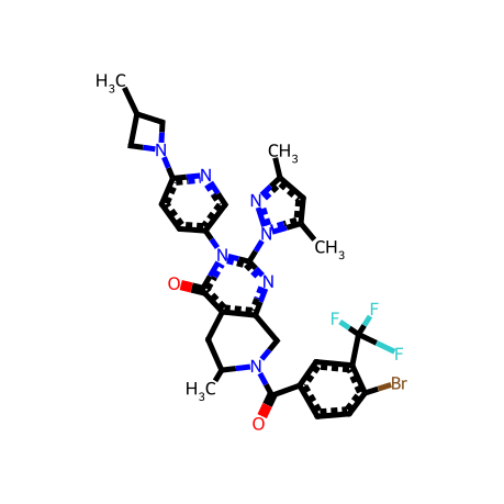 Cc1cc(C)n(-c2nc3c(c(=O)n2-c2ccc(N4CC(C)C4)nc2)CC(C)N(C(=O)c2ccc(Br)c(C(F)(F)F)c2)C3)n1